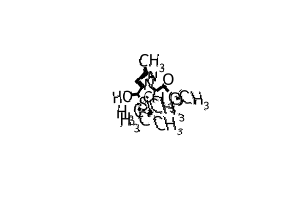 COC(=O)Cn1nc(C)cc1C(O)[Si](C)(C)C(C)(C)C